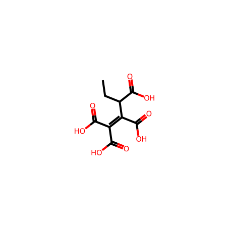 CCC(C(=O)O)C(C(=O)O)=C(C(=O)O)C(=O)O